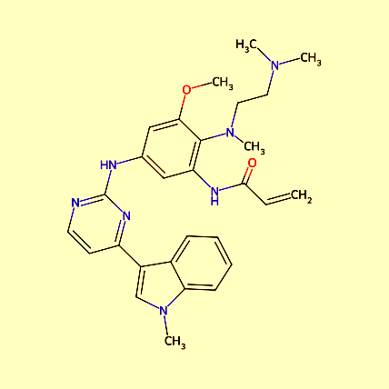 C=CC(=O)Nc1cc(Nc2nccc(-c3cn(C)c4ccccc34)n2)cc(OC)c1N(C)CCN(C)C